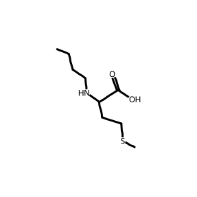 CCCCNC(CCSC)C(=O)O